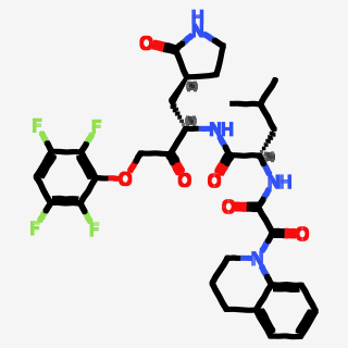 CC(C)C[C@H](NC(=O)C(=O)N1CCCc2ccccc21)C(=O)N[C@@H](C[C@@H]1CCNC1=O)C(=O)COc1c(F)c(F)cc(F)c1F